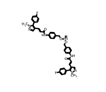 Cn1ncc(/C=C/C(=O)Nc2ccc(CO[PH](=O)OCc3ccc(NC(=O)/C=C/c4cnn(C)c4-c4ccc(F)cc4)cc3)cc2)c1-c1ccc(F)cc1